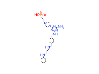 Nc1nc(NC[C@H]2CC[C@H](CNCCCNC3CCCCC3)CC2)nc(N2CCN(CCCP(=O)(O)O)CC2)n1